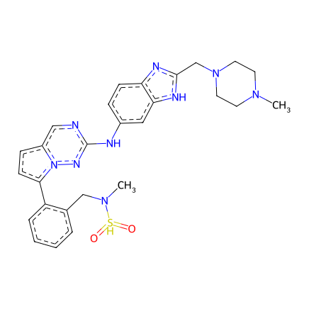 CN1CCN(Cc2nc3ccc(Nc4ncc5ccc(-c6ccccc6CN(C)[SH](=O)=O)n5n4)cc3[nH]2)CC1